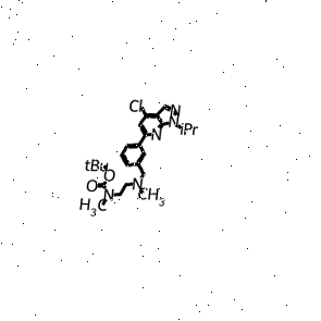 CC(C)n1ncc2c(Cl)cc(-c3cccc(CN(C)CCN(C)C(=O)OC(C)(C)C)c3)nc21